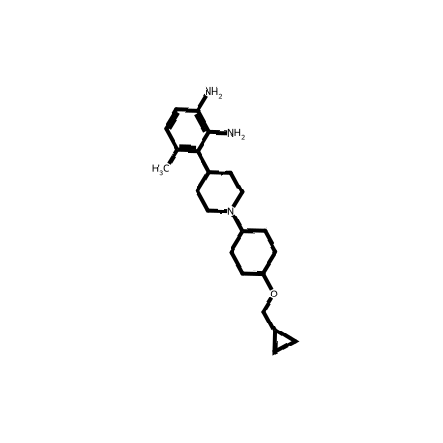 Cc1ccc(N)c(N)c1C1CCN(C2CCC(OCC3CC3)CC2)CC1